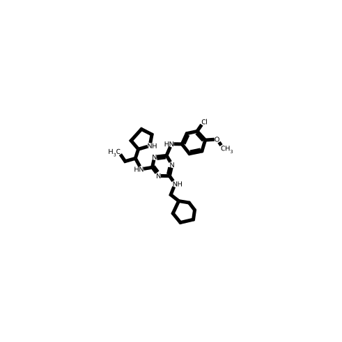 CCC(Nc1nc(NCC2CCCCC2)nc(Nc2ccc(OC)c(Cl)c2)n1)C1CCCN1